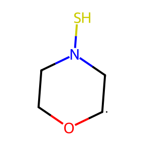 SN1C[CH]OCC1